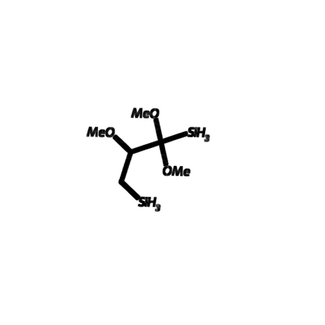 COC(C[SiH3])C([SiH3])(OC)OC